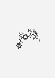 CCN(CC[N+]12CCN(CC1)CC2)c1ccc(/N=N/c2n(C)cn[n+]2C)cc1